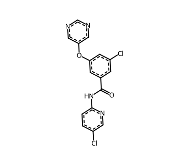 O=C(Nc1ccc(Cl)cn1)c1cc(Cl)cc(Oc2cncnc2)c1